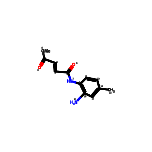 COC(=O)/C=C/C(=O)Nc1ccc(C)cc1N